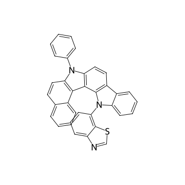 c1ccc(-n2c3ccc4ccccc4c3c3c2ccc2c4ccccc4n(-c4cccc5ncsc45)c23)cc1